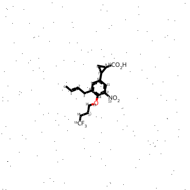 CC=CCc1cc(C2CC2C(=O)O)cc([N+](=O)[O-])c1OCCCC(F)(F)F